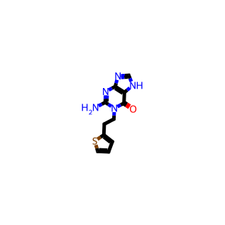 Nc1nc2nc[nH]c2c(=O)n1CCc1cccs1